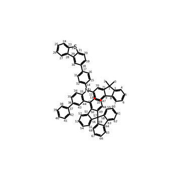 CC1(C)c2ccccc2-c2ccc(N(c3ccc(-c4ccc5sc6ccccc6c5c4)cc3)c3ccc(-c4ccccc4)cc3-c3cccc4c3-c3ccccc3C43c4ccccc4-c4ccccc43)cc21